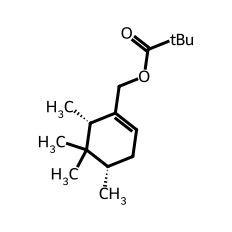 C[C@@H]1C(COC(=O)C(C)(C)C)=CC[C@H](C)C1(C)C